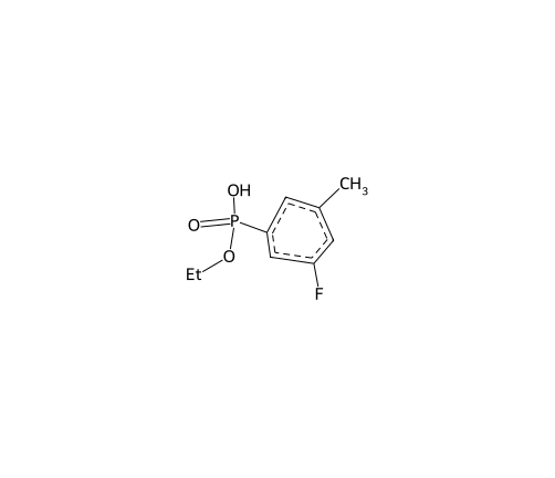 CCOP(=O)(O)c1cc(C)cc(F)c1